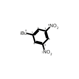 CCC(C)c1cc([N+](=O)[O-])cc([N+](=O)[O-])c1